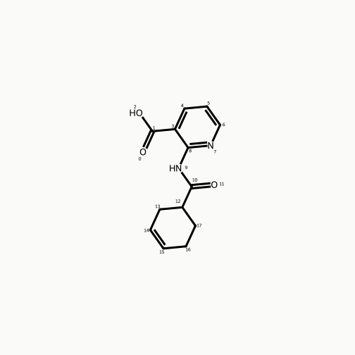 O=C(O)c1cccnc1NC(=O)C1CC=CCC1